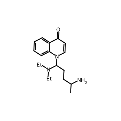 CCN(CC)C(CCC(C)N)n1ccc(=O)c2ccccc21